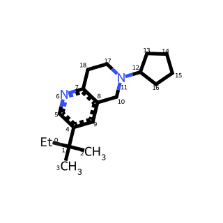 CCC(C)(C)c1cnc2c(c1)CN(C1CCCC1)CC2